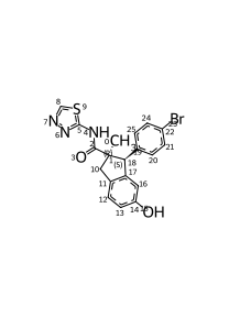 C[C@@]1(C(=O)Nc2nncs2)Cc2ccc(O)cc2[C@@H]1c1ccc(Br)cc1